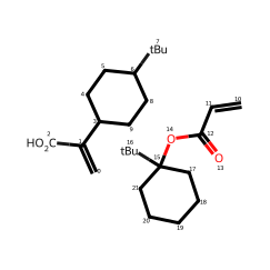 C=C(C(=O)O)C1CCC(C(C)(C)C)CC1.C=CC(=O)OC1(C(C)(C)C)CCCCC1